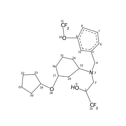 OC(CN(Cc1cccc(OC(F)(F)F)c1)C1CCCC(OC2CCCC2)C1)C(F)(F)F